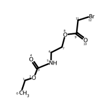 CCOC(=O)NCCOC(=O)CBr